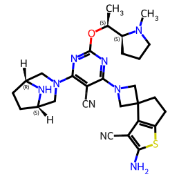 C[C@H](Oc1nc(N2C[C@H]3CC[C@@H](C2)N3)c(C#N)c(N2CC3(CCc4sc(N)c(C#N)c43)C2)n1)[C@@H]1CCCN1C